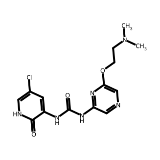 CN(C)CCOc1cncc(NC(=O)Nc2cc(Cl)c[nH]c2=O)n1